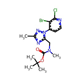 Cc1nc(CN(C)C(=O)OC(C)(C)C)n(-c2ccnc(Cl)c2Br)n1